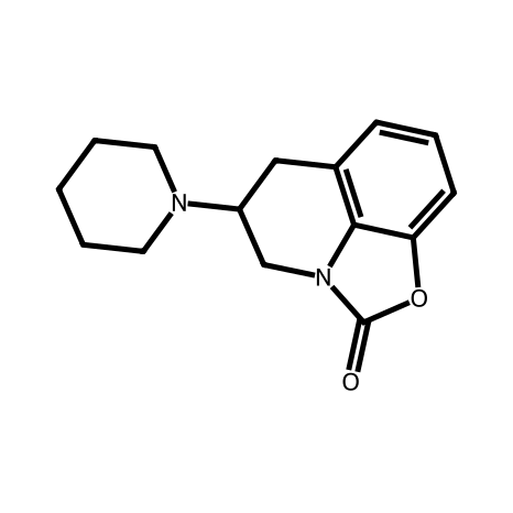 O=c1oc2cccc3c2n1CC(N1CCCCC1)C3